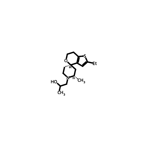 CCc1cc2c(s1)CCO[C@@]21CCN(CC(C)O)[C@@H](C)C1